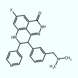 CN(C)Cc1cccc(C2c3n[nH]c(=O)c4cc(F)cc(c34)NC2c2ccncc2)c1